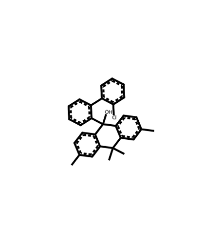 Cc1ccc2c(c1)C(C)(C)c1cc(C)ccc1C2(O)c1ccccc1-c1ccccc1Cl